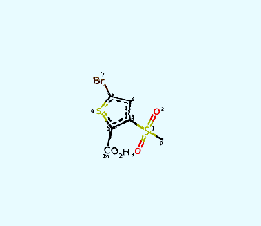 CS(=O)(=O)c1cc(Br)sc1C(=O)O